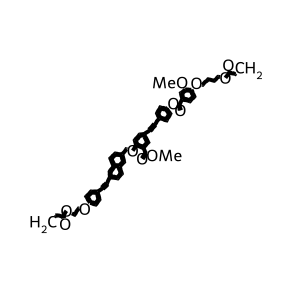 C=CC(=O)OCCCCOc1ccc(C(=O)Oc2ccc(C#Cc3ccc(OCc4ccc5cc(C#Cc6ccc(OCCOC(=O)C=C)cc6)ccc5c4)c(C(=O)OC)c3)cc2)cc1OC